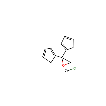 C1=CCC(C2(C3=CC=CC3)CO2)=C1.[Cl][Zr]